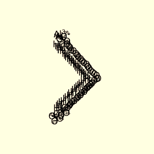 O.O.O.O.O.O.O.O.O.O.O.O.O.O.O.O.O.O.O.O.O.O.O.O.O.O.O.O.O.O.O.O.O.O.O.O.O=S(=O)([O-])[O-].O=S(=O)([O-])[O-].O=S(=O)([O-])[O-].[Al+3].[Al+3]